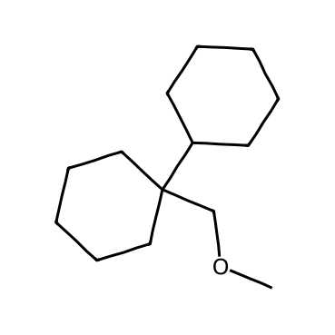 COCC1(C2CCCCC2)CCCCC1